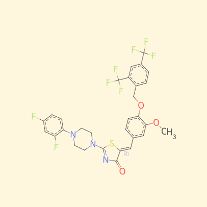 COc1cc(/C=C2\SC(N3CCN(c4ccc(F)cc4F)CC3)=NC2=O)ccc1OCc1ccc(C(F)(F)F)cc1C(F)(F)F